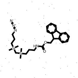 C[Si](C)(CCCN=[N+]=[N-])C[Si](C)(C)CCCNC(=O)OCC1c2ccccc2-c2ccccc21